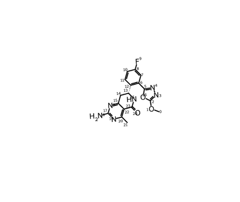 COc1nnc(-c2cc(F)ccc2[C@H]2Cc3nc(N)nc(C)c3C(=O)N2)o1